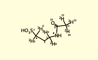 [2H]C([2H])(CC([2H])([2H])S(=O)(=O)O)NC(=O)C([2H])([2H])[2H]